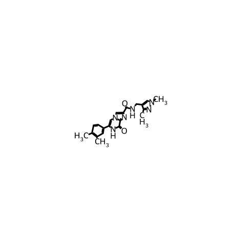 Cc1ccc(-c2cn3cc(C(=O)NCc4cn(C)nc4C)nc3c(=O)[nH]2)cc1C